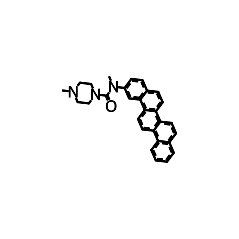 CN1CCN(C(=O)N(C)c2ccc3ccc4c(ccc5c6ccccc6ccc54)c3c2)CC1